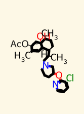 CC(=O)O[C@@H]1[C][C@@]2(O)[C@H](C)CC[C@@H]([C@H](C)CN3CCCC(Oc4ncccc4Cl)C3)[C@H]2C=C1C